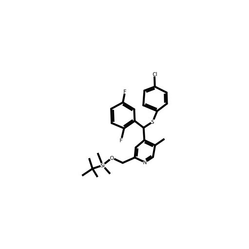 Cc1cnc(CO[Si](C)(C)C(C)(C)C)cc1C(Sc1ccc(Cl)cc1)c1cc(F)ccc1F